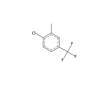 Cc1cc(C(F)(F)F)ccc1Cl